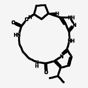 CC(C)c1ccc2nc1C(=O)NCCCNC(=O)O[C@@H]1CC[C@@H](C1)c1cc(n[nH]1)N2